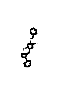 Fc1cc(OCc2ccccc2)c(Br)cc1CC1CCC1c1ccccc1